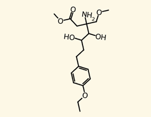 CCOc1ccc(CCC(O)C(O)C(N)(COC)CC(=O)OC)cc1